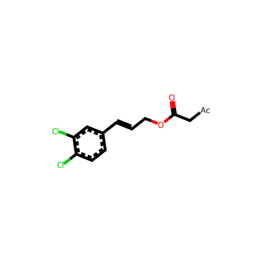 CC(=O)CC(=O)OCC=Cc1ccc(Cl)c(Cl)c1